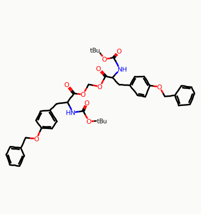 CC(C)(C)OC(=O)NC(Cc1ccc(OCc2ccccc2)cc1)C(=O)OCOC(=O)C(Cc1ccc(OCc2ccccc2)cc1)NC(=O)OC(C)(C)C